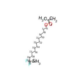 C=C(C)C(=O)OCCCCCCCCCCCCCCC(F)(F)[SiH3]